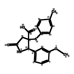 COc1cccc([C@H]2NC(=O)CC2(Sc2ccc(C)cc2)C(=O)O)c1